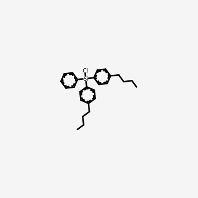 CCCCc1ccc([Si](Cl)(c2ccccc2)c2ccc(CCCC)cc2)cc1